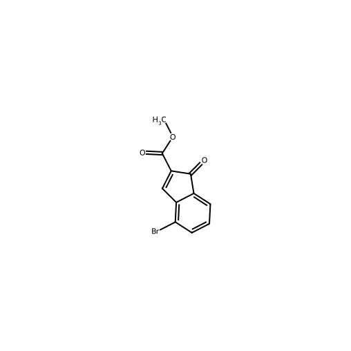 COC(=O)C1=Cc2c(Br)cccc2C1=O